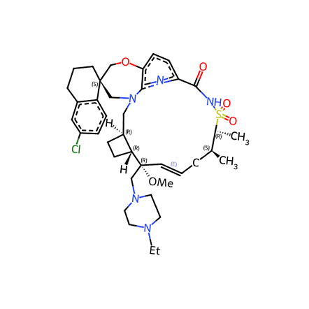 CCN1CCN(C[C@]2(OC)/C=C/C[C@H](C)[C@@H](C)S(=O)(=O)NC(=O)c3ccc4c(n3)N(C[C@@H]3CC[C@H]32)C[C@@]2(CCCc3cc(Cl)ccc32)CO4)CC1